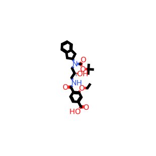 CCOc1cc(C(=O)O)ccc1C(=O)NC[C@@H](O)CN(C(=O)OC(C)(C)C)C1Cc2ccccc2C1